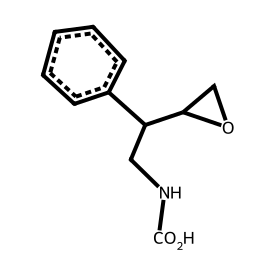 O=C(O)NCC(c1ccccc1)C1CO1